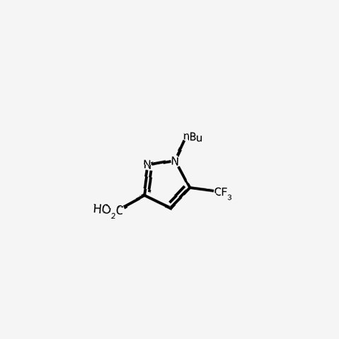 CCCCn1nc(C(=O)O)cc1C(F)(F)F